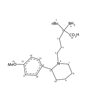 BC(CCCC)(CCCN1CCCCC1c1ccc(OC)cc1)C(=O)O